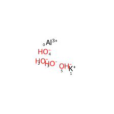 [Al+3].[K+].[OH-].[OH-].[OH-].[OH-]